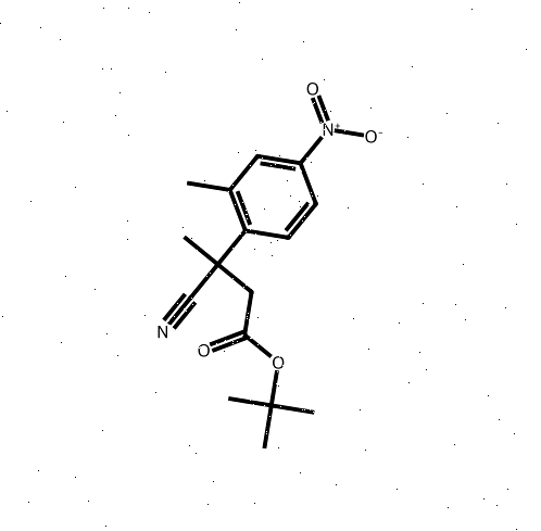 Cc1cc([N+](=O)[O-])ccc1C(C)(C#N)CC(=O)OC(C)(C)C